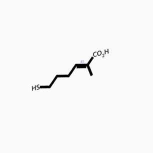 C/C(=C\CCCS)C(=O)O